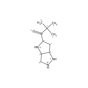 CC(C)(C)C(=O)C1CC2NNCC2N1